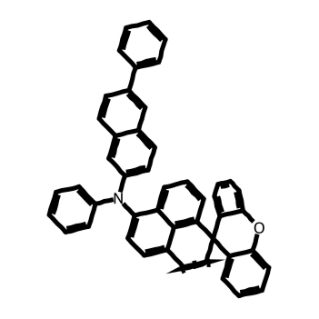 c1ccc(-c2ccc3cc(N(c4ccccc4)c4ccc5c6c(cccc46)C4(c6ccccc6Oc6ccccc64)c4ccccc4-5)ccc3c2)cc1